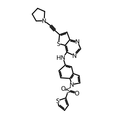 O=S(=O)(c1cccs1)n1ccc2cc(Nc3ncnc4cc(C#CN5CCCC5)sc34)ccc21